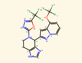 FC(F)(F)Oc1cccn2nc(C3c4nc[nH]c4CCN3c3nnc(C(F)(F)F)o3)cc12